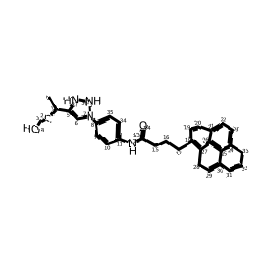 CC(CCO)C1=CN(c2ccc(NC(=O)CCCc3ccc4ccc5c6c4c3CC=C6C=CC5)cc2)NN1